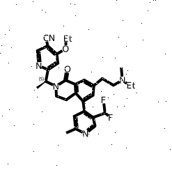 CCOc1cc([C@H](C)N2CCc3c(cc(CCN(C)CC)cc3-c3cc(C)ncc3C(F)F)C2=O)ncc1C#N